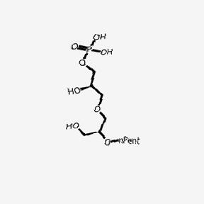 CCCCCO[C@@H](CO)COC[C@@H](O)COP(=O)(O)O